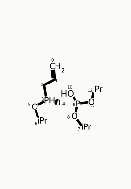 C=CC[PH](=O)OC(C)C.CC(C)OP(O)OC(C)C